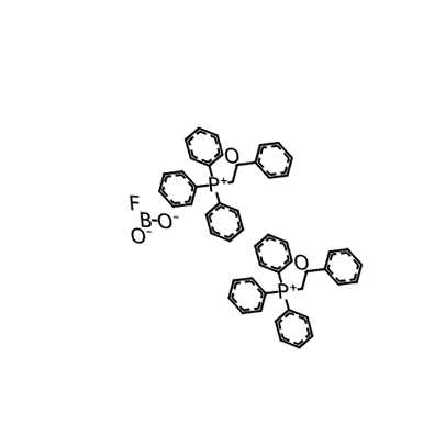 O=C(C[P+](c1ccccc1)(c1ccccc1)c1ccccc1)c1ccccc1.O=C(C[P+](c1ccccc1)(c1ccccc1)c1ccccc1)c1ccccc1.[O-]B([O-])F